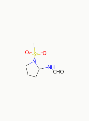 CS(=O)(=O)N1CCCC1NC=O